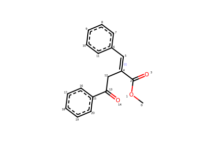 COC(=O)/C(=C/c1ccccc1)CC(=O)c1ccccc1